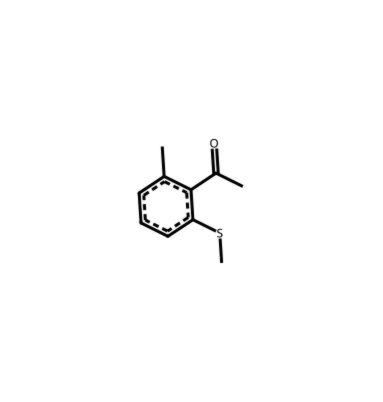 CSc1cccc(C)c1C(C)=O